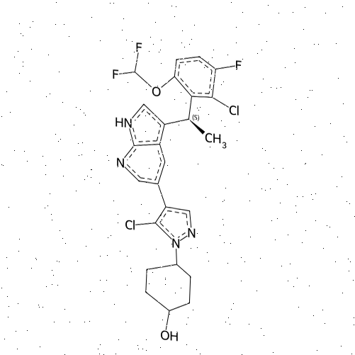 C[C@H](c1c(OC(F)F)ccc(F)c1Cl)c1c[nH]c2ncc(-c3cnn(C4CCC(O)CC4)c3Cl)cc12